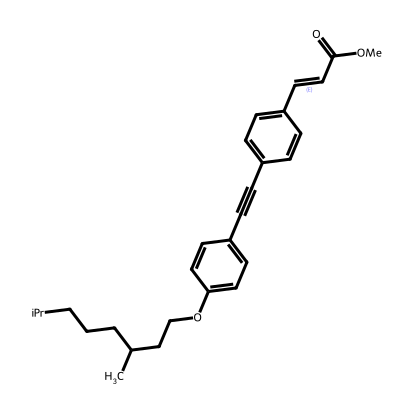 COC(=O)/C=C/c1ccc(C#Cc2ccc(OCCC(C)CCCC(C)C)cc2)cc1